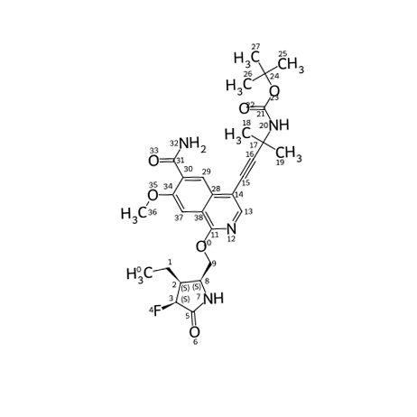 CC[C@@H]1[C@H](F)C(=O)N[C@@H]1COc1ncc(C#CC(C)(C)NC(=O)OC(C)(C)C)c2cc(C(N)=O)c(OC)cc12